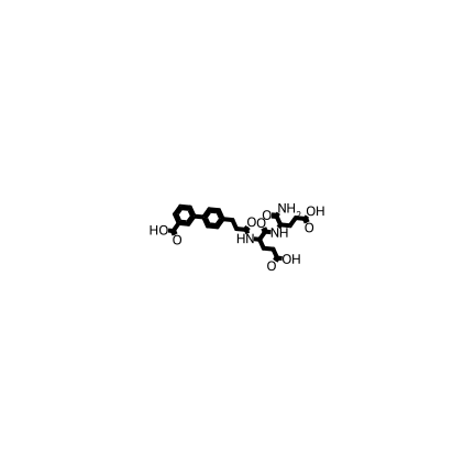 NC(=O)C(CCC(=O)O)NC(=O)C(CCC(=O)O)NC(=O)CCc1ccc(-c2cccc(C(=O)O)c2)cc1